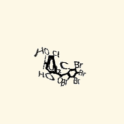 O=C(O)c1c(Br)c(Br)c(Br)c(Br)c1C(=O)c1cc(Cl)c(O)cc1O